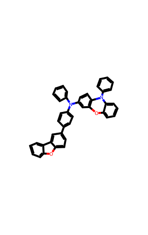 c1ccc(N(c2ccc(-c3ccc4oc5ccccc5c4c3)cc2)c2ccc3c(c2)Oc2ccccc2N3c2ccccc2)cc1